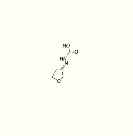 O=C(O)N/N=C1\CCOC1